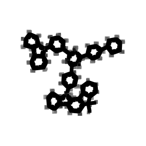 CC1(C)c2ccccc2-c2c1ccc1c3ccccc3n(-c3ccc(-c4nc(-c5ccc(-c6ccccc6)cc5)nc(-c5cccc(-n6c7ccccc7c7ccccc76)c5)n4)cc3)c21